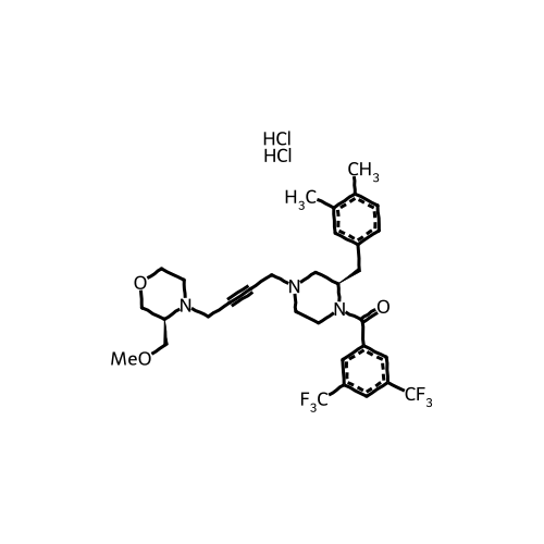 COC[C@H]1COCCN1CC#CCN1CCN(C(=O)c2cc(C(F)(F)F)cc(C(F)(F)F)c2)[C@H](Cc2ccc(C)c(C)c2)C1.Cl.Cl